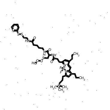 CCCC1=CC(CCC(=O)NC(CSOOO)C(=O)NCCCCC(=O)NCCSSc2ccccn2)=[N+]2C1=Cc1c(CCC)cc(CCC[N+](C)(C)C)n1[B-]2(F)F